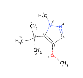 COc1cnn(C)c1C(C)(C)C